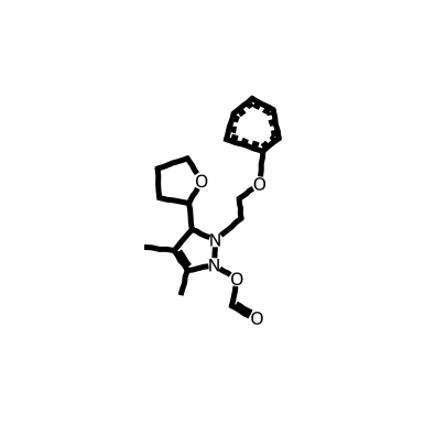 CC1=C(C)N(OC=O)N(CCOc2ccccc2)C1C1CCCO1